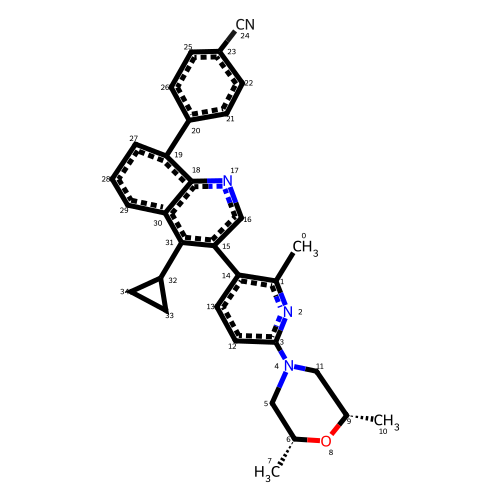 Cc1nc(N2C[C@@H](C)O[C@@H](C)C2)ccc1-c1cnc2c(-c3ccc(C#N)cc3)cccc2c1C1CC1